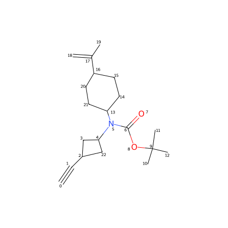 C#CC1CC(N(C(=O)OC(C)(C)C)C2CCC(C(=C)C)CC2)C1